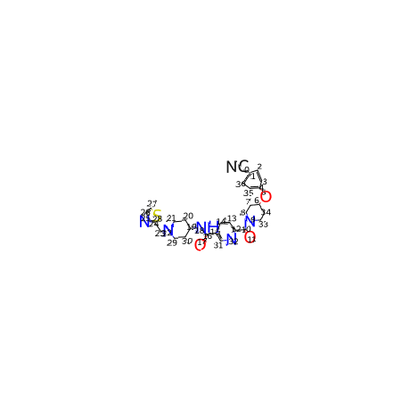 N#Cc1ccc(OC2CCN(C(=O)c3ccc(C(=O)NC4CCN(Cc5nccs5)CC4)cn3)CC2)cc1